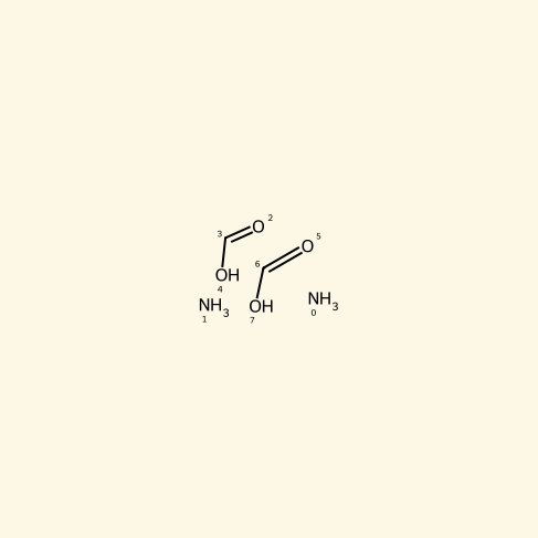 N.N.O=CO.O=CO